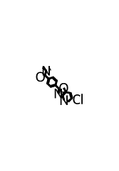 CN(C)C(=O)c1ccc(-c2nc3ncc(Cl)cc3o2)cc1